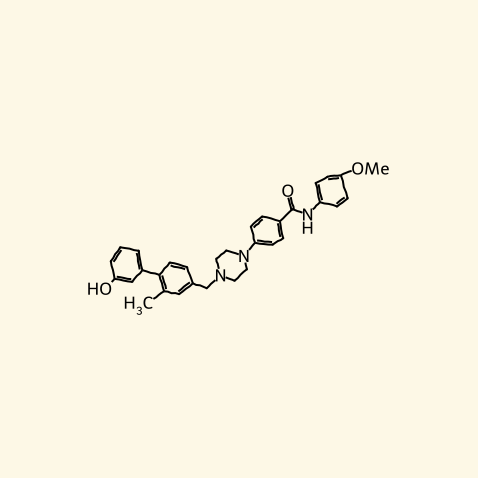 COc1ccc(NC(=O)c2ccc(N3CCN(Cc4ccc(-c5cccc(O)c5)c(C)c4)CC3)cc2)cc1